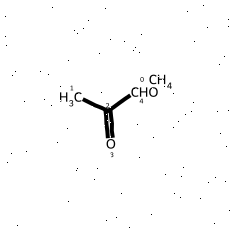 C.CC(=O)C=O